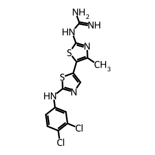 Cc1nc(NC(=N)N)sc1-c1cnc(Nc2ccc(Cl)c(Cl)c2)s1